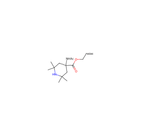 C=CCOC(=O)C1(NC(C)=O)CC(C)(C)NC(C)(C)C1